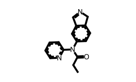 CCC(=O)N(c1ccc2c(c1)C=NC2)c1ccccn1